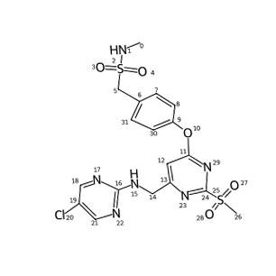 CNS(=O)(=O)Cc1ccc(Oc2cc(CNc3ncc(Cl)cn3)nc(S(C)(=O)=O)n2)cc1